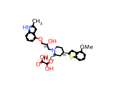 COc1cccc2sc([C@@H]3CCN(C[C@H](O)COc4cccc5[nH]c(C)cc45)[C@H](C)C3)cc12.O=C(O)C(=O)O